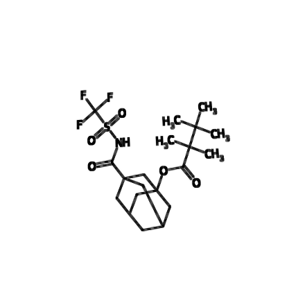 CC(C)(C)C(C)(C)C(=O)OC12CC3CC(C1)CC(C(=O)NS(=O)(=O)C(F)(F)F)(C3)C2